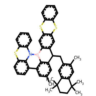 Cc1cc2c3c(c1)C(Cc1cc4c(cc1C)C(C)(C)CCC4(C)C)c1cc4c(cc1B3N1c3ccccc3Sc3cccc-2c31)Sc1ccccc1S4